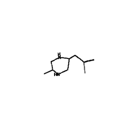 CC(C)CC1CNC(C)CN1